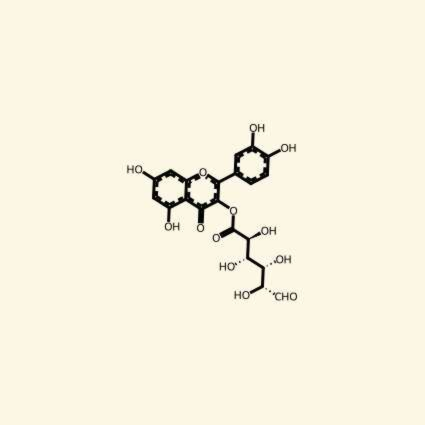 O=C[C@H](O)[C@@H](O)[C@H](O)[C@H](O)C(=O)Oc1c(-c2ccc(O)c(O)c2)oc2cc(O)cc(O)c2c1=O